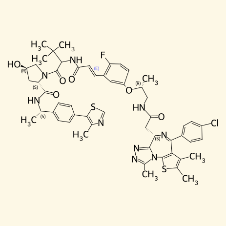 Cc1ncsc1-c1ccc([C@H](C)NC(=O)[C@@H]2C[C@@H](O)CN2C(=O)C(NC(=O)/C=C/c2cc(O[C@H](C)CNC(=O)C[C@@H]3N=C(c4ccc(Cl)cc4)c4c(sc(C)c4C)-n4c(C)nnc43)ccc2F)C(C)(C)C)cc1